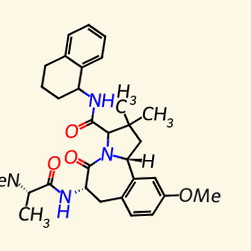 CN[C@@H](C)C(=O)N[C@H]1Cc2ccc(OC)cc2[C@H]2CC(C)(C)C(C(=O)NC3CCCc4ccccc43)N2C1=O